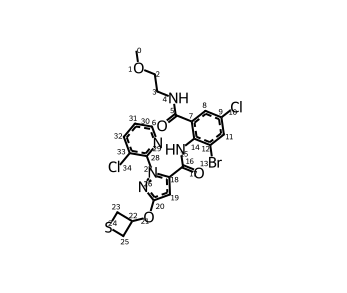 COCCNC(=O)c1cc(Cl)cc(Br)c1NC(=O)c1cc(OC2CSC2)nn1-c1ncccc1Cl